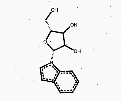 OC[C@H]1O[C@@H](n2ccc3ccccc32)C(O)C1O